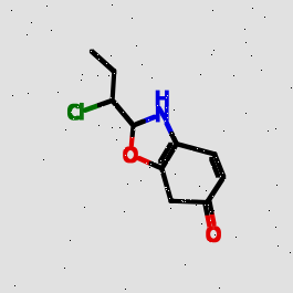 CCC(Cl)C1NC2=C(CC(=O)C=C2)O1